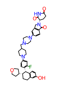 O=C1CC[C@H](N2Cc3cc(N4CCN(CC5CCN(c6ccc([C@@H]7c8ccc(O)cc8CC[C@@H]7C7CCOCC7)c(F)c6)CC5)CC4)ccc3C2=O)C(=O)N1